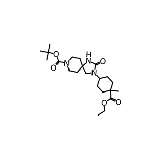 CCOC(=O)C1(C)CCC(N2CC3(CCN(C(=O)OC(C)(C)C)CC3)NC2=O)CC1